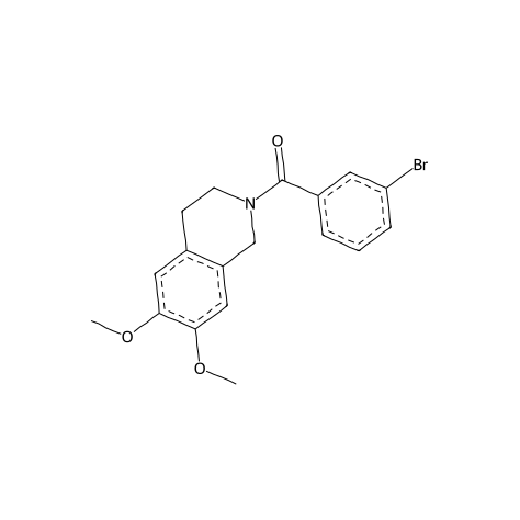 COc1cc2c(cc1OC)CN(C(=O)c1cccc(Br)c1)CC2